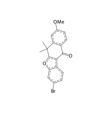 COc1ccc2c(c1)C(C)(C)c1oc3cc(Br)ccc3c1C2=O